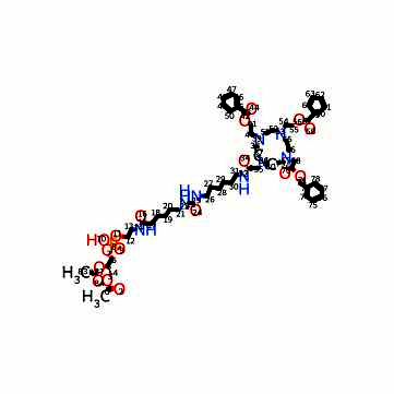 CC(=O)OC[C@@H](COP(=O)(O)OCCNC(=O)CCCCCNC(=O)NCCCCCCNC(=O)CN1CCN(CCOC(=O)c2ccccc2)CCN(CCOC(=O)c2ccccc2)CCN(CC(=O)OCc2ccccc2)CC1)OC(C)=O